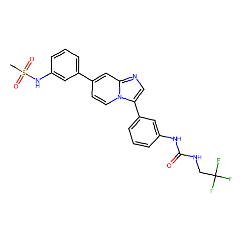 CS(=O)(=O)Nc1cccc(-c2ccn3c(-c4cccc(NC(=O)NCC(F)(F)F)c4)cnc3c2)c1